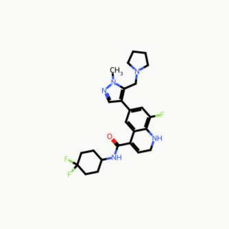 Cn1ncc(-c2cc(F)c3c(c2)C(C(=O)NC2CCC(F)(F)CC2)=CCN3)c1CN1CCCC1